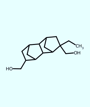 CCC1(CO)CC2CC1C1C3CC(CC3CO)C21